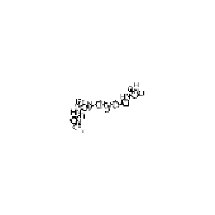 CC(C)Oc1cc2nc(C3CCN(CC(=O)N4CCC(c5cccc(NC6CCC(=O)NC6=O)c5)CC4)CC3)cn2cc1NC(=O)c1cccc(C(F)(F)F)n1